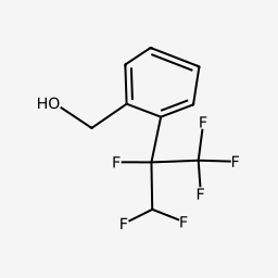 OCc1ccccc1C(F)(C(F)F)C(F)(F)F